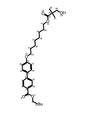 CCC(C)COC(=O)c1ccc(-c2ccc(OCCCCCCCCOC(=O)C(C)(C)CO)cc2)cc1